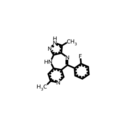 Cc1cc2c(cn1)C(c1ccccc1F)=Nc1c(n[nH]c1C)N2